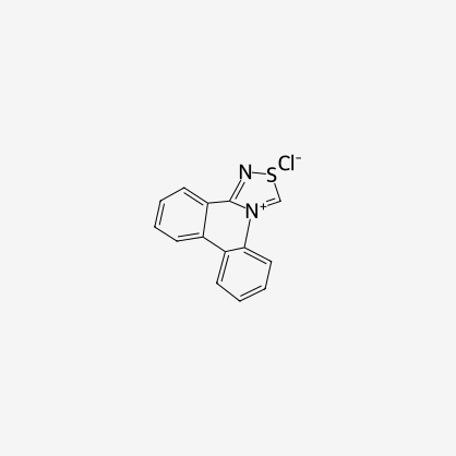 [Cl-].c1ccc2c(c1)c1ccccc1[n+]1csnc21